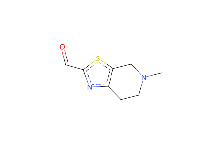 CN1CCc2nc(C=O)sc2C1